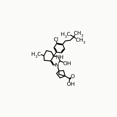 CC1CC[C@]2(c3ccc(CCC(C)(C)C)c(Cl)c3)NC(O)N(C34CCC(C(=O)O)(C3)C4)C=C2C1